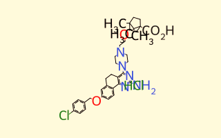 CC12CCC(C(=O)O)(CC1OCCN1CCN(c3nc(N)nc4c3CCc3cc(OCc5ccc(Cl)cc5)ccc3-4)CC1)C2(C)C.Cl